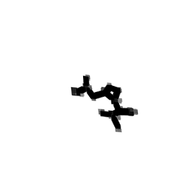 CCN(C)CC1CCN1C(=O)N(C)C